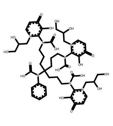 O=C(O)N(CCCC(CCCN(C(=O)O)c1c(O)c(=O)ccn1CC(O)CO)(CCCN(C(=O)O)c1c(O)c(=O)ccn1CC(O)CO)N(C(=O)O)c1ccccc1)c1c(O)c(=O)ccn1CC(O)CO